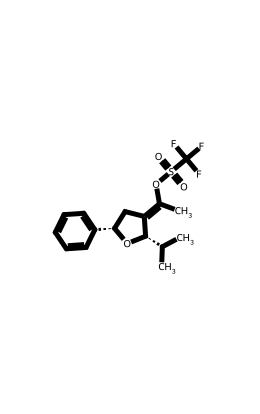 C/C(OS(=O)(=O)C(F)(F)F)=C1/C[C@@H](c2ccccc2)O[C@H]1C(C)C